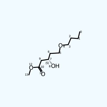 CCCCOCC[C@H](O)CC(=O)OC